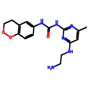 Cc1cc(NCCN)nc(NC(=O)Nc2ccc3c(c2)CCOO3)n1